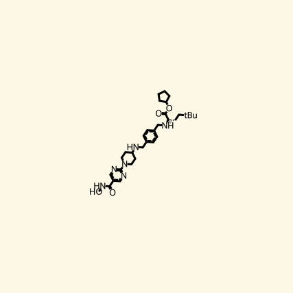 CC(C)(C)CC[C@H](NCc1ccc(CNC2CCN(c3ncc(C(=O)NO)cn3)CC2)cc1)C(=O)OC1CCCC1